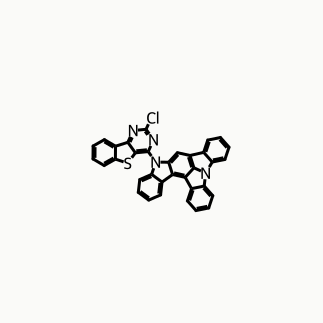 Clc1nc(-n2c3ccccc3c3c4c5ccccc5n5c6ccccc6c(cc32)c45)c2sc3ccccc3c2n1